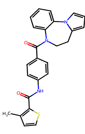 Cc1ccsc1C(=O)Nc1ccc(C(=O)N2CCc3cccn3-c3ccccc32)cc1